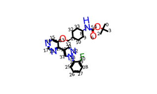 CC(C)(C)OC(=O)N[C@H]1CC[C@@H](COc2cncnc2-c2cnn(-c3ccccc3F)c2)CC1